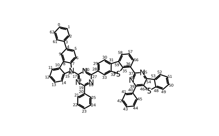 c1ccc(-c2ccc3c(c2)c2ccccc2n3-c2nc(-c3ccccc3)nc(-c3ccc4c(c3)sc3c(-c5nc(-c6ccccc6)c6sc7ccccc7c6n5)cccc34)n2)cc1